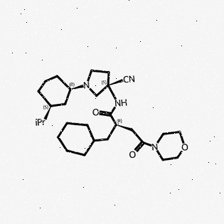 CC(C)[C@H]1CCC[C@@H](N2CC[C@](C#N)(NC(=O)[C@@H](CC(=O)N3CCOCC3)CC3CCCCC3)C2)C1